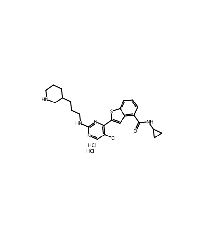 Cl.Cl.O=C(NC1CC1)c1cccc2sc(-c3nc(NCCCC4CCCNC4)ncc3Cl)cc12